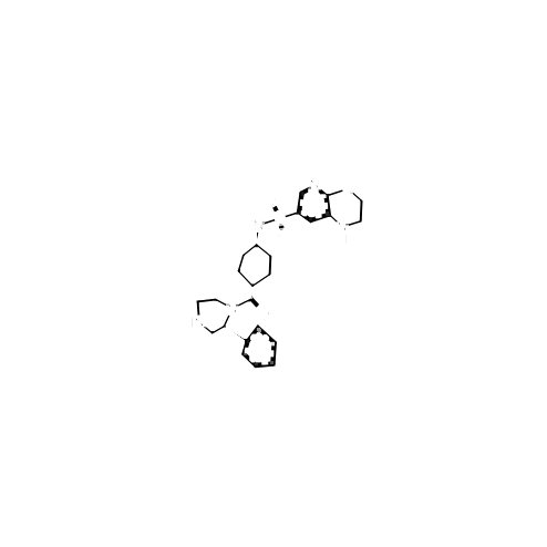 O=C([C@H]1CC[C@H](NS(=O)(=O)c2cnc3c(c2)NCCS3)CC1)N1CCNC[C@@H]1c1ccccc1